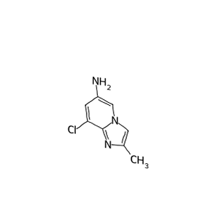 Cc1cn2cc(N)cc(Cl)c2n1